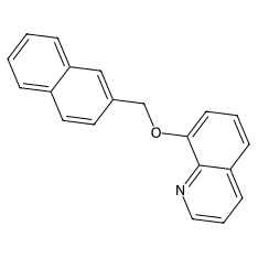 c1ccc2cc(COc3cccc4cccnc34)ccc2c1